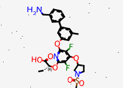 CC[C@@H](Oc1nc(Oc2cc(C)cc(-c3cccc(CN)c3)c2)c(F)c(OC2CCN(S(C)(=O)=O)C2)c1F)C(=O)O